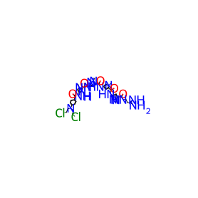 Cn1cc(NC(=O)c2cc(NC(=O)c3nc(NC(=O)c4ccc(N(CCCl)CCCl)cc4)cn3C)nn2C)cc1C(=O)Nc1cc(C(=O)NCCC(=N)N)n(C)n1